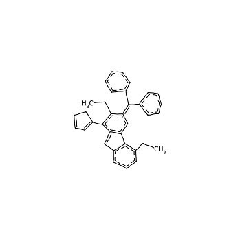 CCc1cccc2c1-c1cc(=C(c3ccccc3)c3ccccc3)c(CC)c(C3=CC=CC3)c1=[C]2